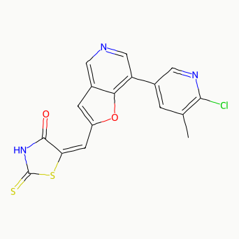 Cc1cc(-c2cncc3cc(/C=C4/SC(=S)NC4=O)oc23)cnc1Cl